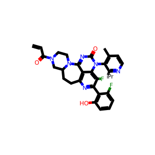 C=CC(=O)N1CCN2c3nc(=O)n(-c4c(C)ccnc4C(C)C)c4c(F)c(-c5c(O)cccc5F)nc(c34)CCC2C1